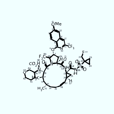 COc1ccc2c(O[C@@H]3C[C@H]4C(=O)N[C@]5(C(=O)NS(=O)(=O)C6(CF)CC6)C[C@H]5/C=C\CC[C@H](C)C[C@@H](C)[C@H](N(C(=O)O)C5CCCOC5)C(=O)N4C3C(F)(F)F)nc(C(F)(F)F)cc2c1